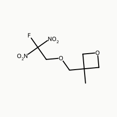 CC1(COCC(F)([N+](=O)[O-])[N+](=O)[O-])COC1